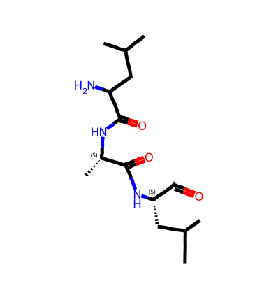 CC(C)CC(N)C(=O)N[C@@H](C)C(=O)N[C@H]([C]=O)CC(C)C